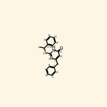 CC(Sc1nc(Cc2ccccc2)cc(=O)[nH]1)c1ccccc1